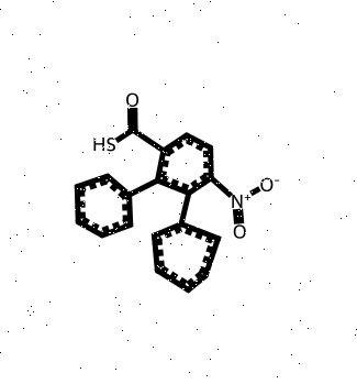 O=C(S)c1ccc([N+](=O)[O-])c(-c2ccccc2)c1-c1ccccc1